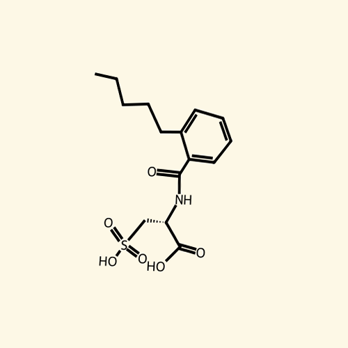 CCCCCc1ccccc1C(=O)N[C@@H](CS(=O)(=O)O)C(=O)O